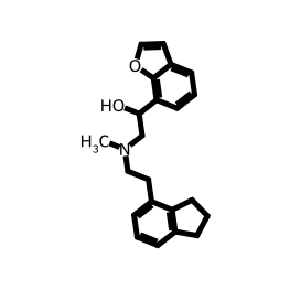 CN(CCc1cccc2c1CCC2)CC(O)c1cccc2ccoc12